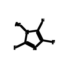 CC(=O)n1c(F)nc(F)c1F